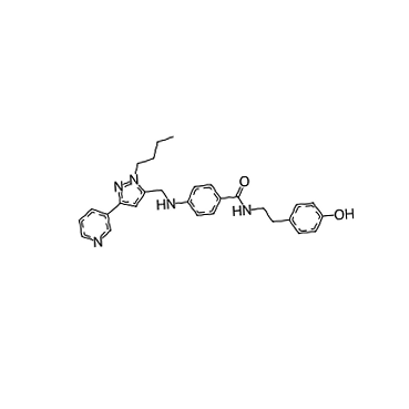 CCCCn1nc(-c2cccnc2)cc1CNc1ccc(C(=O)NCCc2ccc(O)cc2)cc1